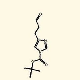 CC(C)(C)OC(=O)n1cnc(CCC=O)c1